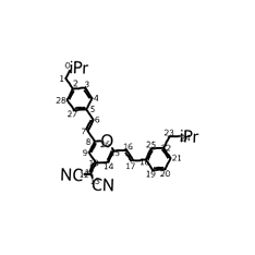 CC(C)Cc1ccc(/C=C/C2=CC(=C(C#N)C#N)C=C(/C=C/c3cccc(CC(C)C)c3)O2)cc1